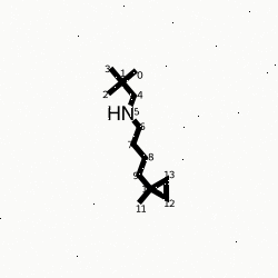 CC(C)(C)CNCCCCC1(C)CC1